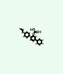 C=CC[C@H]1CC[C@H](c2ccc(C3CCCCC3)cc2)CC1.O=C(O)O